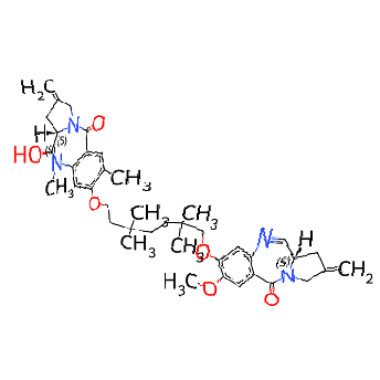 C=C1C[C@H]2C=Nc3cc(OCC(C)(C)CCC(C)(C)CCOc4cc5c(cc4C)C(=O)N4CC(=C)C[C@H]4[C@H](O)N5C)c(OC)cc3C(=O)N2C1